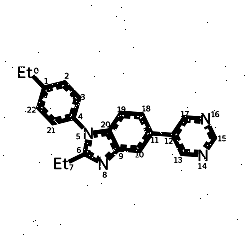 [CH2]Cc1ccc(-n2c(CC)nc3cc(-c4cncnc4)ccc32)cc1